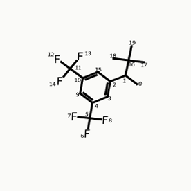 CC(c1cc(C(F)(F)F)cc(C(F)(F)F)c1)C(C)(C)C